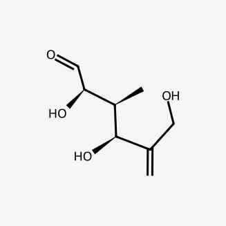 C=C(CO)[C@@H](O)[C@H](C)[C@@H](O)C=O